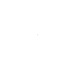 CC1(F)CN(S(C)(=O)=O)c2ccccc2S1